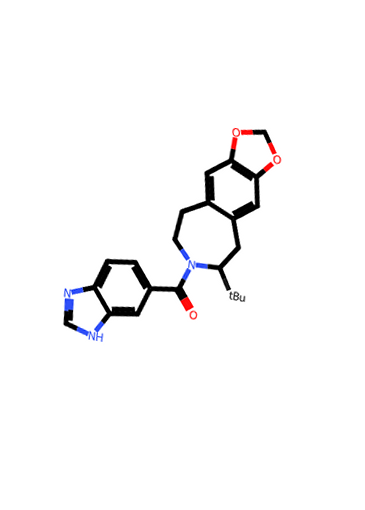 CC(C)(C)C1Cc2cc3c(cc2CCN1C(=O)c1ccc2nc[nH]c2c1)OCO3